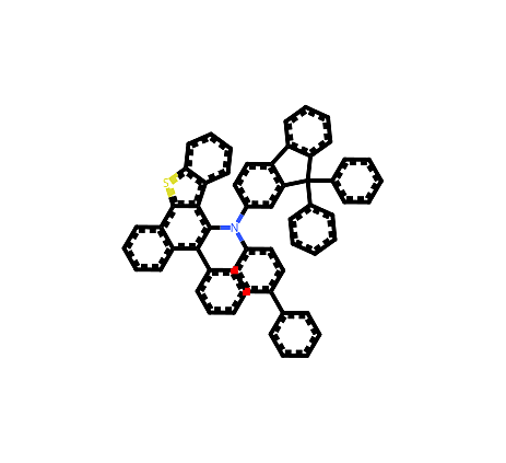 c1ccc(-c2ccc(N(c3ccc4c(c3)C(c3ccccc3)(c3ccccc3)c3ccccc3-4)c3c(-c4ccccc4)c4ccccc4c4sc5ccccc5c34)cc2)cc1